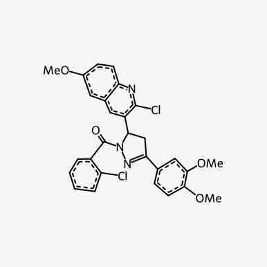 COc1ccc2nc(Cl)c(C3CC(c4ccc(OC)c(OC)c4)=NN3C(=O)c3ccccc3Cl)cc2c1